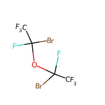 FC(F)(F)C(F)(Br)OC(F)(Br)C(F)(F)F